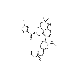 COc1cc(OS(=O)(=O)CC(C)C)ccc1-c1ccc2c(c1COC(=O)c1ccc(C)s1)C(C)=CC(C)(C)N2